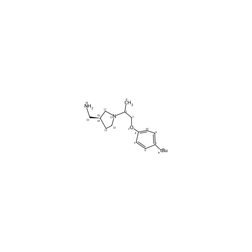 CC(COc1ccc(C(C)(C)C)cc1)N1CC[C@@H](CN)C1